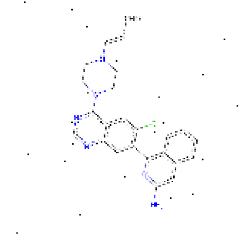 Nc1cc2ccccc2c(-c2cc3ncnc(N4CCN(C=CC=O)CC4)c3cc2Cl)n1